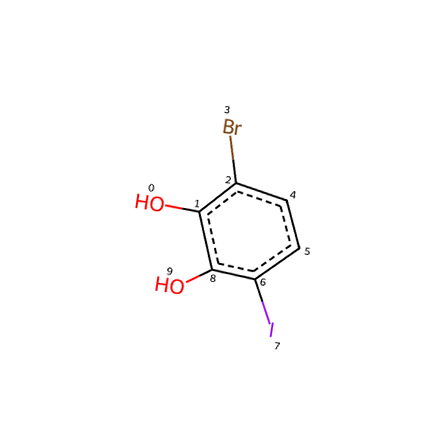 Oc1c(Br)ccc(I)c1O